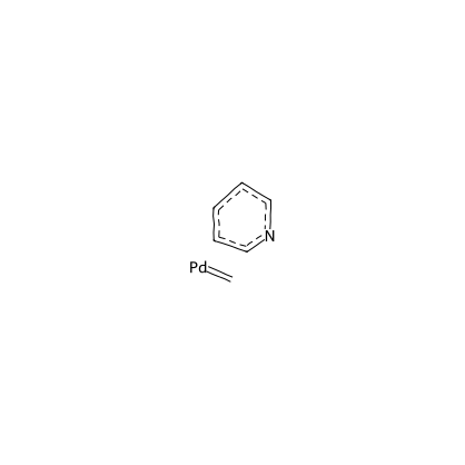 [CH2]=[Pd].c1ccncc1